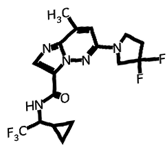 Cc1cc(N2CCC(F)(F)C2)nn2c(C(=O)NC(C3CC3)C(F)(F)F)cnc12